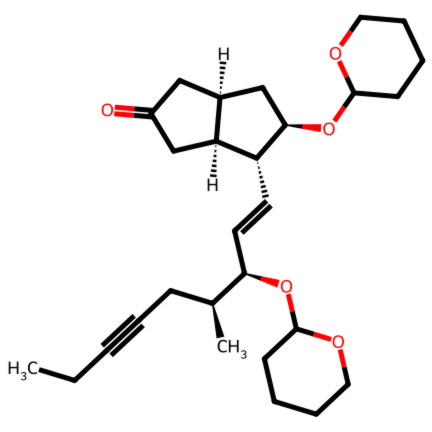 CCC#CC[C@H](C)[C@@H](C=C[C@@H]1[C@H]2CC(=O)C[C@H]2C[C@H]1OC1CCCCO1)OC1CCCCO1